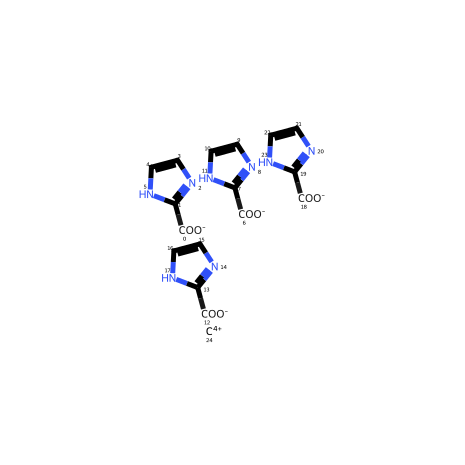 O=C([O-])c1ncc[nH]1.O=C([O-])c1ncc[nH]1.O=C([O-])c1ncc[nH]1.O=C([O-])c1ncc[nH]1.[C+4]